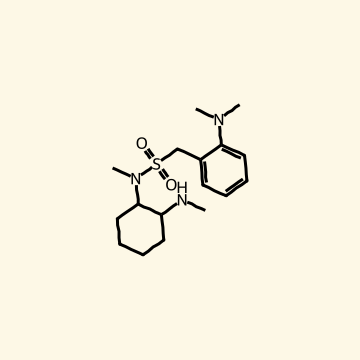 CNC1CCCCC1N(C)S(=O)(=O)Cc1ccccc1N(C)C